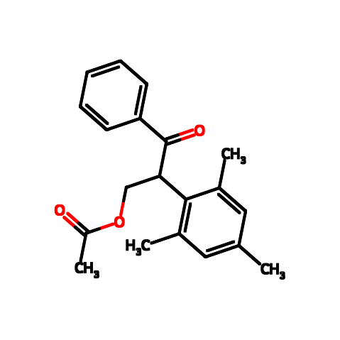 CC(=O)OCC(C(=O)c1ccccc1)c1c(C)cc(C)cc1C